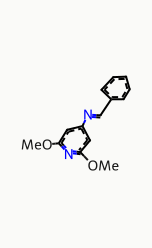 COc1cc(N=Cc2ccccc2)cc(OC)n1